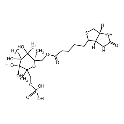 CC1(COP(=O)(O)O)O[C@](C)(COC(=O)CCCCC2SC[C@@H]3NC(=O)N[C@H]23)C(C)(O)C(C)(O)[C@]1(C)O